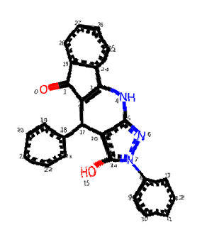 O=C1C2=C(Nc3nn(-c4ccccc4)c(O)c3C2c2ccccc2)c2ccccc21